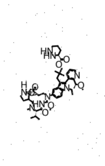 CCn1c(-c2cccnc2[C@H](C)OC)c(CC(C)(C)COC(=O)[C@@H]2CCCNN2)c2cc(N(CC[SH](=O)=O)C(NC(=O)[C@H](C(C)C)N(C)CC3CCNC3)OC)ccc21